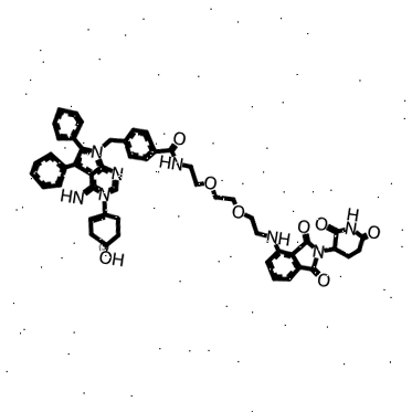 N=c1c2c(-c3ccccc3)c(-c3ccccc3)n(Cc3ccc(C(=O)NCCOCCOCCNc4cccc5c4C(=O)N(C4CCC(=O)NC4=O)C5=O)cc3)c2ncn1C1=CC[C@@H](O)CC1